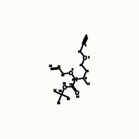 C#CCOCCC(C)N(OCC=C)C(=O)OC(C)(C)C